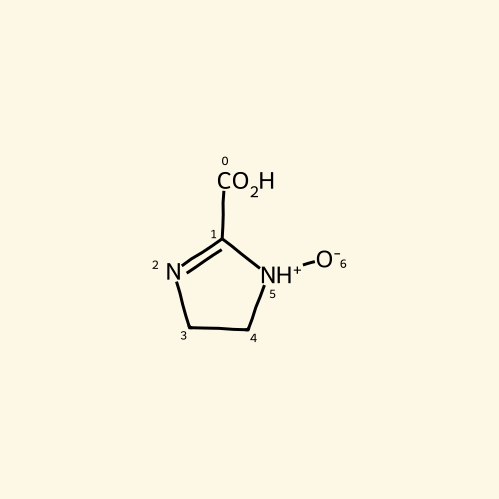 O=C(O)C1=NCC[NH+]1[O-]